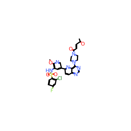 COc1ncc(-c2ccc3ncnc(N4CCN(C(=O)/C=C/C(C)=O)CC4)c3n2)cc1NS(=O)(=O)c1ccc(F)cc1Cl